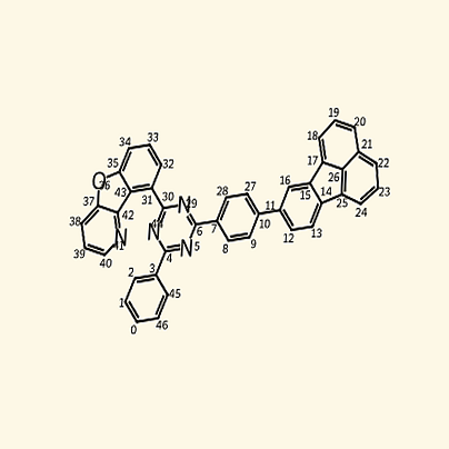 c1ccc(-c2nc(-c3ccc(-c4ccc5c(c4)-c4cccc6cccc-5c46)cc3)nc(-c3cccc4oc5cccnc5c34)n2)cc1